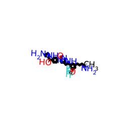 C[C@H](N)CCCc1cc(OC(F)(F)F)c(F)c(-c2cc3cn(-c4ccc([C@@H](O)[C@@H]5C[C@@H](N)CN5)cc4)c(=O)nc3[nH]2)c1